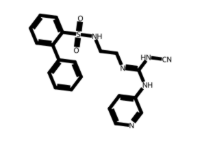 N#CN/C(=N\CCNS(=O)(=O)c1ccccc1-c1ccccc1)Nc1cccnc1